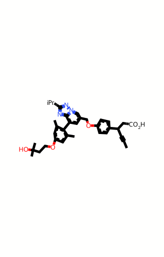 CC#CC(CC(=O)O)c1ccc(OCc2cc(-c3c(C)cc(OCCC(C)(C)O)cc3C)c3nc(C(C)C)nn3c2)cc1